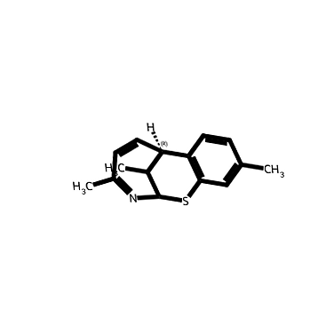 CC1=NC2Sc3cc(C)ccc3[C@H](C=C1)C2C